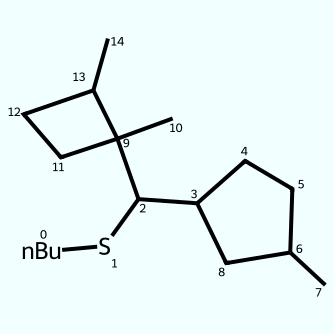 CCCCSC(C1CCC(C)C1)C1(C)CCC1C